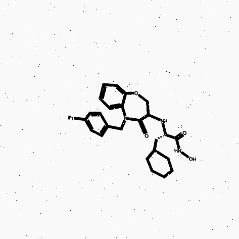 CC(C)c1ccc(CN2C(=O)C(N[C@@H](CC3CCCCC3)C(=O)NO)COc3ccccc32)cc1